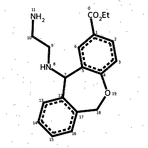 CCOC(=O)c1ccc2c(c1)C(NCCN)c1ccccc1CO2